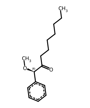 CCCCCCCC(=O)[C@H](OC)c1ccccc1